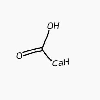 O=[C](O)[CaH]